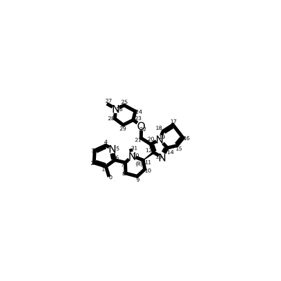 Cc1cccnc1C1CCC[C@H](c2nc3ccccn3c2COC2CCN(C)CC2)N1C